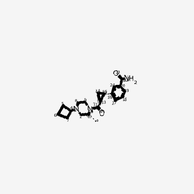 C[C@@H]1CN(C2CCC2)CCN1C(=O)[C@H]1C[C@@H]1c1cccc(C(N)=O)c1